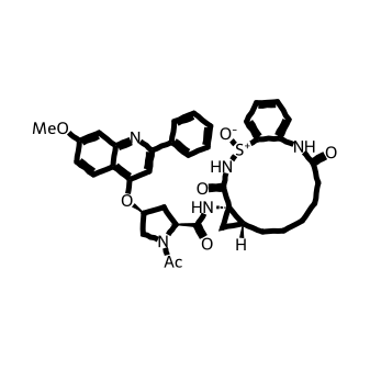 COc1ccc2c(O[C@H]3C[C@@H](C(=O)N[C@@]45C[C@H]4CCCCCC(=O)Nc4ccccc4[S+]([O-])NC5=O)N(C(C)=O)C3)cc(-c3ccccc3)nc2c1